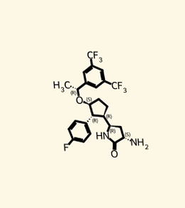 C[C@@H](O[C@H]1CC[C@@H]([C@H]2C[C@H](N)C(=O)N2)[C@@H]1c1ccc(F)cc1)c1cc(C(F)(F)F)cc(C(F)(F)F)c1